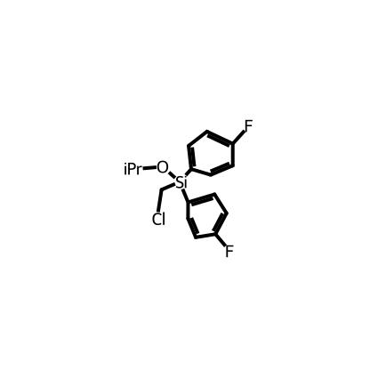 CC(C)O[Si](CCl)(c1ccc(F)cc1)c1ccc(F)cc1